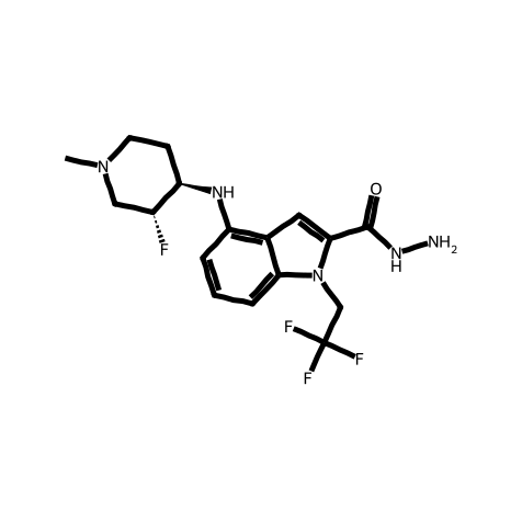 CN1CC[C@@H](Nc2cccc3c2cc(C(=O)NN)n3CC(F)(F)F)[C@H](F)C1